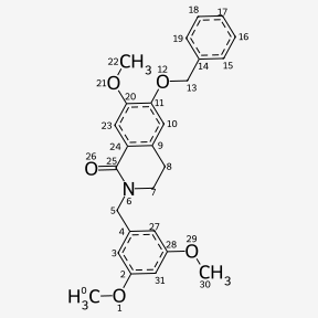 COc1cc(CN2CCc3cc(OCc4ccccc4)c(OC)cc3C2=O)cc(OC)c1